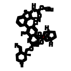 CN1CC/C(=C\F)[C@](C)(COc2nc(N3C[C@H]4CC[C@@H](C3)N4C(=O)OC(C)(C)C)c3cc(Cl)c(-c4cccc5sc(NC(=O)OC(C)(C)C)c(C#N)c45)c(F)c3n2)C1